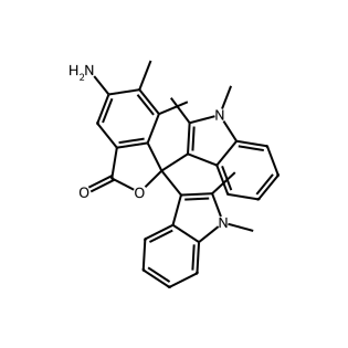 Cc1c(N)cc2c(c1C)C(c1c(C)n(C)c3ccccc13)(c1c(C)n(C)c3ccccc13)OC2=O